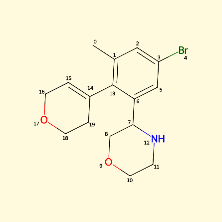 Cc1cc(Br)cc(C2COCCN2)c1C1=CCOCC1